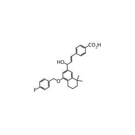 CC1(C)CCCc2c(OCc3ccc(F)cc3)cc(C(O)/C=C/c3ccc(C(=O)O)cc3)cc21